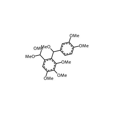 COc1ccc(C(OC)c2c(C(OC)OC)cc(OC)c(OC)c2OC)cc1OC